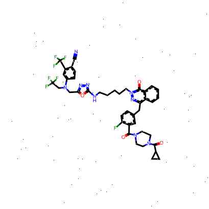 N#Cc1ccc(N(Cc2nnc(NCCCCCn3nc(Cc4ccc(F)c(C(=O)N5CCN(C(=O)C6CC6)CC5)c4)c4ccccc4c3=O)o2)CC(F)(F)F)cc1C(F)(F)F